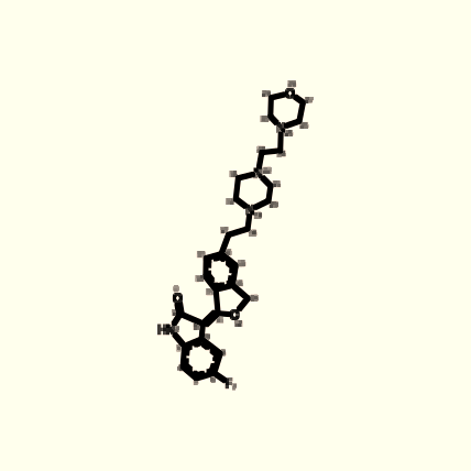 O=C1Nc2ccc(F)cc2C1=C1OCc2cc(CCN3CCN(CCN4CCOCC4)CC3)ccc21